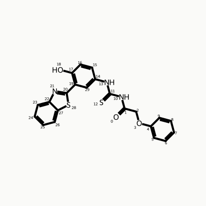 O=C(COc1ccccc1)NC(=S)Nc1ccc(O)c(-c2nc3ccccc3s2)c1